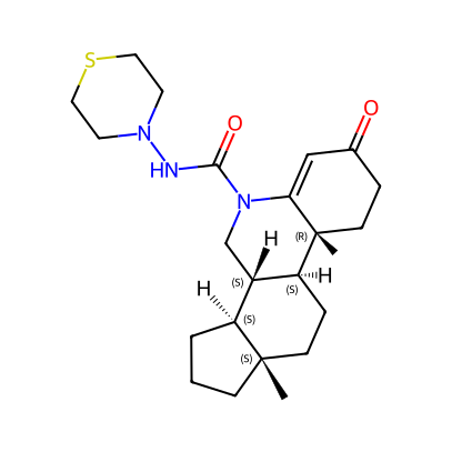 C[C@@]12CCC[C@H]1[C@@H]1CN(C(=O)NN3CCSCC3)C3=CC(=O)CC[C@]3(C)[C@H]1CC2